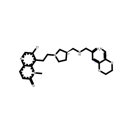 C=C(/C=C1/OCCO/C1=C/N)CNC[C@H]1CCN(CCc2c(Cl)cnc3ccc(=O)n(C)c23)C1